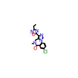 CCc1noc(-c2ncn3c2CN(C)C(=O)c2cc(Cl)ccc2-3)n1